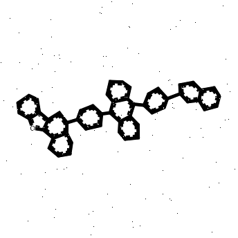 c1ccc2cc(-c3ccc(-c4c5ccccc5c(-c5ccc(-c6cc7c8ccccc8oc7c7ccccc67)cc5)c5ccccc45)cc3)ccc2c1